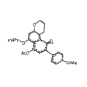 CCCOc1cc2c(c3c(=O)c(-c4ccc(OC)cc4)cn(OC(C)=O)c13)CCCO2